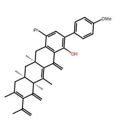 C=C(C)C1=C(C)C[C@@]2(C)C[C@@]3(C)Cc4c(C(C)C)cc(-c5ccc(OC)cc5)c(O)c4C(=C)C3=C(C)[C@@]2(C)C1=C